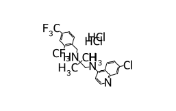 CC(C)(CNc1ccnc2cc(Cl)ccc12)NCc1ccc(C(F)(F)F)cc1C(F)(F)F.Cl.Cl